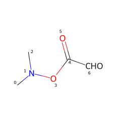 CN(C)OC(=O)C=O